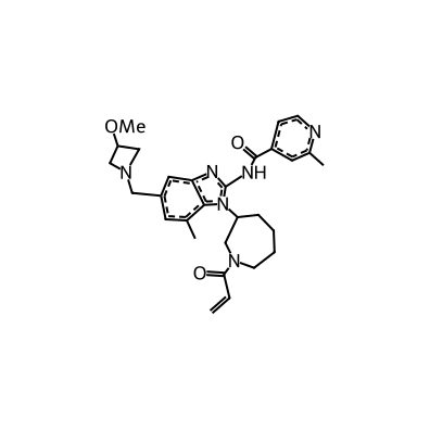 C=CC(=O)N1CCCCC(n2c(NC(=O)c3ccnc(C)c3)nc3cc(CN4CC(OC)C4)cc(C)c32)C1